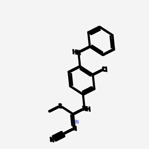 CS/C(=N\C#N)Nc1ccc(Nc2ccccc2)c(Cl)c1